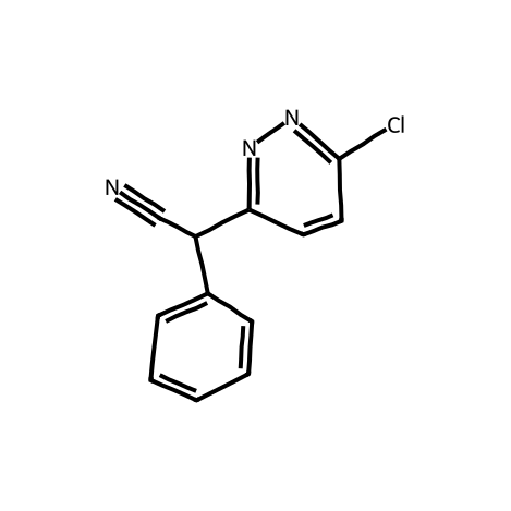 N#CC(c1ccccc1)c1ccc(Cl)nn1